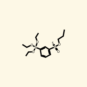 CCCOS(=O)(=S)c1cccc([Si](OCC)(OCC)OCC)c1